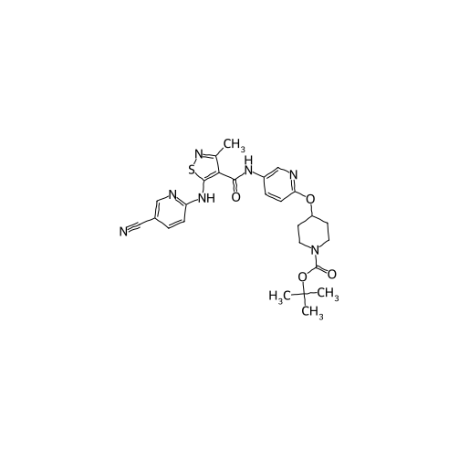 Cc1nsc(Nc2ccc(C#N)cn2)c1C(=O)Nc1ccc(OC2CCN(C(=O)OC(C)(C)C)CC2)nc1